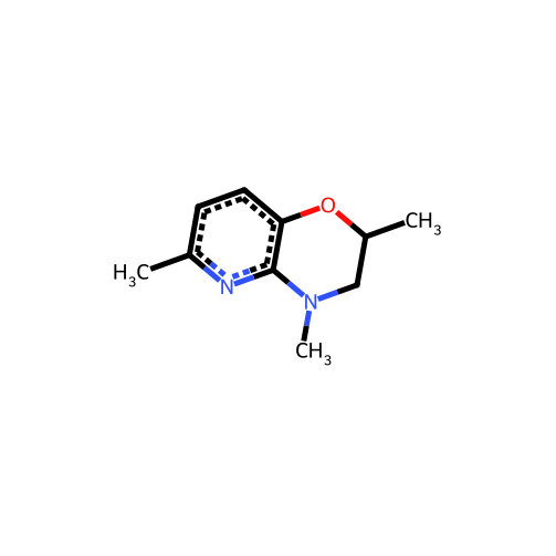 Cc1ccc2c(n1)N(C)CC(C)O2